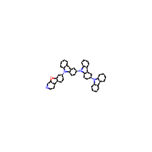 c1ccc2c(c1)c1ccccc1n2-c1ccc2c(c1)c1ccccc1n2-c1ccc2c(c1)c1ccccc1n2-c1ccc2c(c1)oc1cnccc12